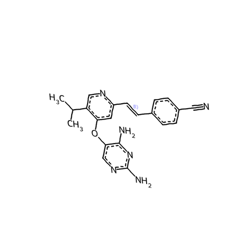 CC(C)c1cnc(/C=C/c2ccc(C#N)cc2)cc1Oc1cnc(N)nc1N